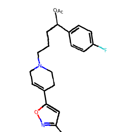 CC(=O)OC(CCCN1CC=C(c2cc(C)no2)CC1)c1ccc(F)cc1